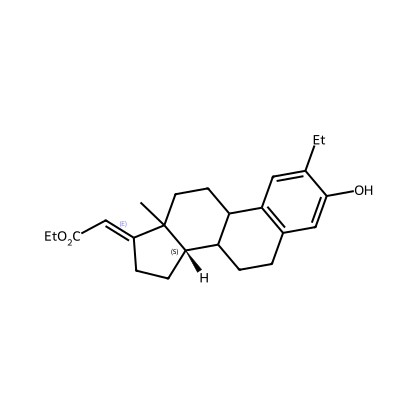 CCOC(=O)/C=C1\CC[C@H]2C3CCc4cc(O)c(CC)cc4C3CCC12C